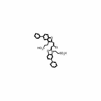 CCC(=Cc1oc2ccc(-c3ccccc3)cc2c1CCS(=O)(=O)O)C=C1Oc2ccc(-c3ccccc3)cc2N1CCS(=O)(=O)O